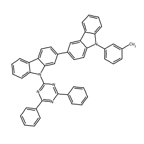 Cc1cccc(-n2c3ccccc3c3cc(-c4ccc5c6ccccc6n(-c6nc(-c7ccccc7)nc(-c7ccccc7)n6)c5c4)ccc32)c1